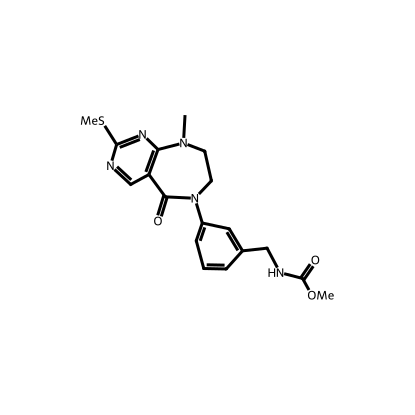 COC(=O)NCc1cccc(N2CCN(C)c3nc(SC)ncc3C2=O)c1